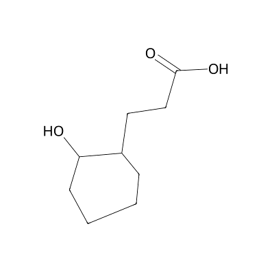 O=C(O)CCC1CCCCC1O